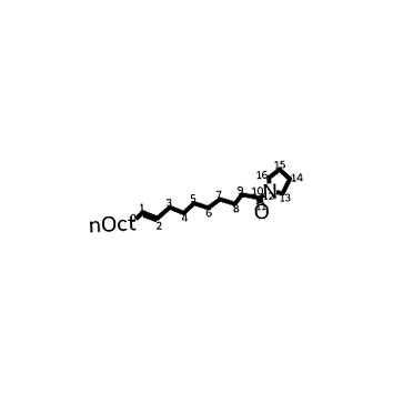 CCCCCCCC/C=C/CCCCCCCC(=O)N1CCCC1